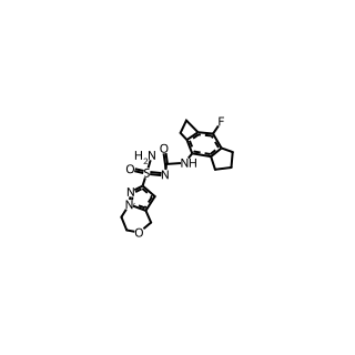 NS(=O)(=NC(=O)Nc1c2c(c(F)c3c1CC3)CCC2)c1cc2n(n1)CCOC2